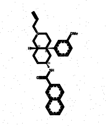 C=CCN1CC[C@@]2(c3cccc(OC)c3)C[C@H](NC(=O)c3ccc4ccccc4c3)CC[C@@H]2C1